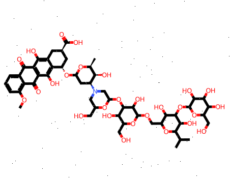 COc1cccc2c1C(=O)c1c(O)c3c(c(O)c1C2=O)C[C@@H](C(=O)O)C[C@@H]3OC1C[C@H](N2CC(CO)OC(OC3C(O)C(CO)OC(OCC4OC(C(C)C)C(O)C(OC5OC(CO)C(O)C(O)C5O)C4O)C3O)C2)[C@H](O)[C@H](C)O1